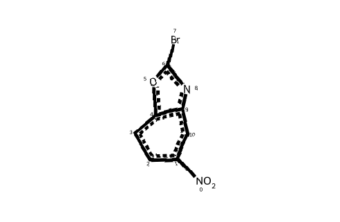 O=[N+]([O-])c1ccc2oc(Br)nc2c1